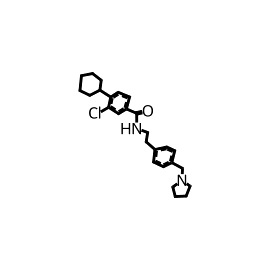 O=C(NCCc1ccc(CN2CCCC2)cc1)c1ccc(C2CCCCC2)c(Cl)c1